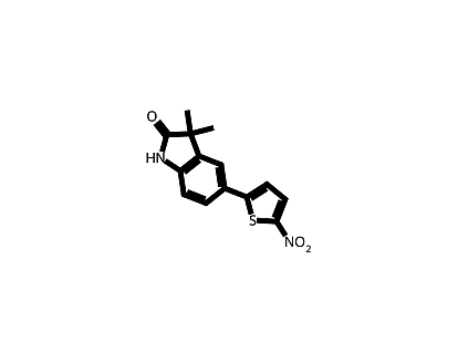 CC1(C)C(=O)Nc2ccc(-c3ccc([N+](=O)[O-])s3)cc21